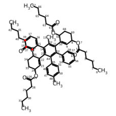 CCCCCC(=O)OC1C=C(c2c(C)c(-c3ccccc3)c(C3=CC(OC(=O)CCCCC)CCC3OC(=O)CCCCC)c(-c3ccc(C)cc3)c2-c2ccccc2)C(OC(=O)CCCCC)CC1